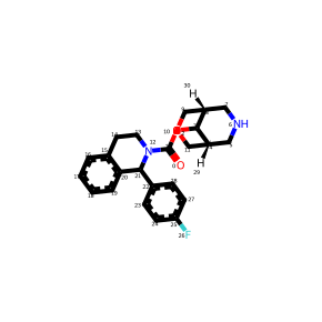 O=C(OC1[C@@H]2CNC[C@H]1COC2)N1CCc2ccccc2C1c1ccc(F)cc1